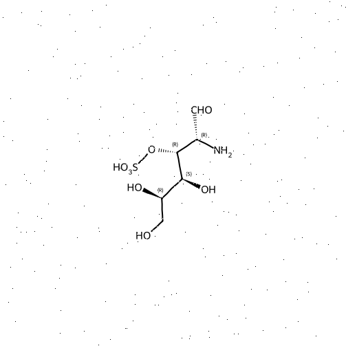 N[C@@H](C=O)[C@@H](OS(=O)(=O)O)[C@@H](O)[C@H](O)CO